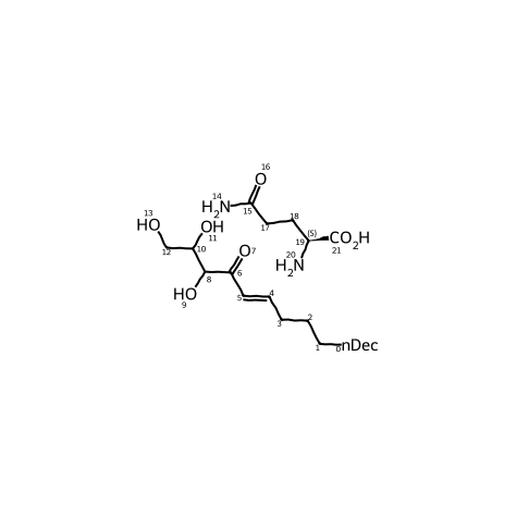 CCCCCCCCCCCCCC=CC(=O)C(O)C(O)CO.NC(=O)CC[C@H](N)C(=O)O